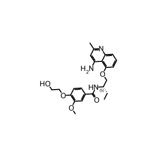 CC[C@@H](COc1cccc2nc(C)cc(N)c12)NC(=O)c1ccc(OCCO)c(OC)c1